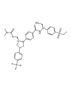 CCS(=O)(=O)c1ccc([C@H](CO)NC(=O)c2ccc(N3CC(c4ccc(C(F)(F)F)cc4)C[C@H]3COC(=O)N(C)C)cc2)cc1